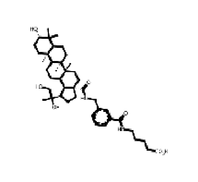 CC(O)(CO)[C@@H]1CC[C@]2(C(=O)NCc3cccc(C(=O)NCCCCC(=O)O)c3)CC[C@]3(C)C(CCC4[C@@]5(C)CC[C@H](O)C(C)(C)C5CC[C@]43C)C12